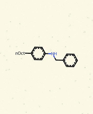 CCCCCCCCc1ccc(NCc2ccccc2)cc1